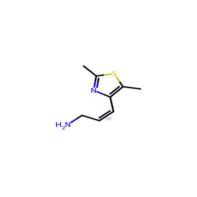 Cc1nc(/C=C\CN)c(C)s1